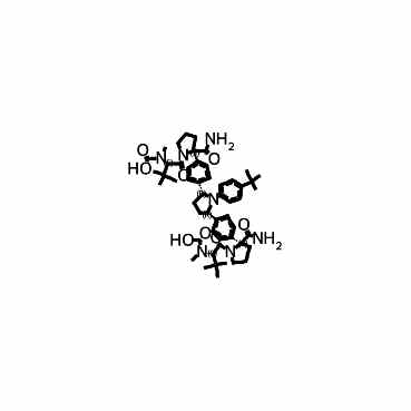 CN(C(=O)O)[C@H](C(=O)N1CCC[C@@]1(C(N)=O)c1ccc([C@H]2CC[C@H](c3ccc([C@]4(C(N)=O)CCCN4C(=O)[C@@H](N(C)C(=O)O)C(C)(C)C)cc3)N2c2ccc(C(C)(C)C)cc2)cc1)C(C)(C)C